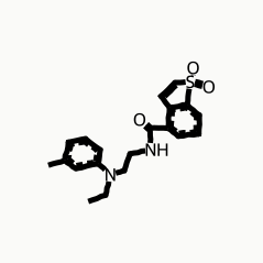 CCN(CCNC(=O)c1cccc2c1C=CS2(=O)=O)c1cccc(C)c1